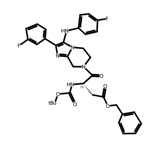 CC(C)(C)OC(=O)N[C@@H](CC(=O)OCc1ccccc1)C(=O)N1CCn2c(nc(-c3cccc(F)c3)c2Nc2ccc(F)cc2)C1